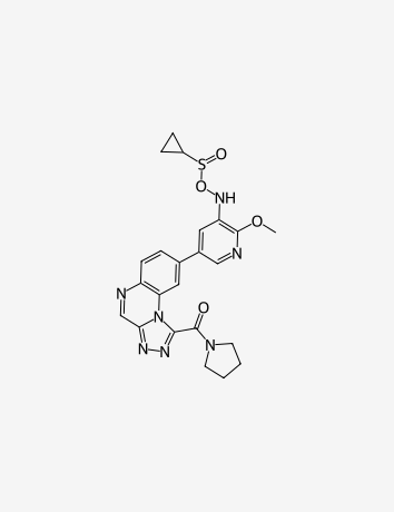 COc1ncc(-c2ccc3ncc4nnc(C(=O)N5CCCC5)n4c3c2)cc1NOS(=O)C1CC1